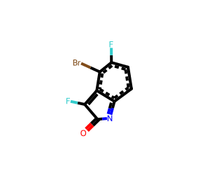 O=C1N=c2ccc(F)c(Br)c2=C1F